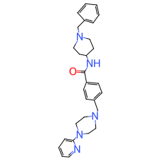 O=C(NC1CCN(Cc2ccccc2)CC1)c1ccc(CN2CCN(c3ccccn3)CC2)cc1